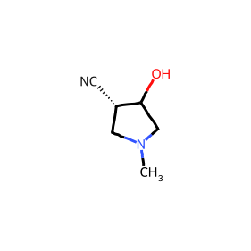 CN1CC(O)[C@@H](C#N)C1